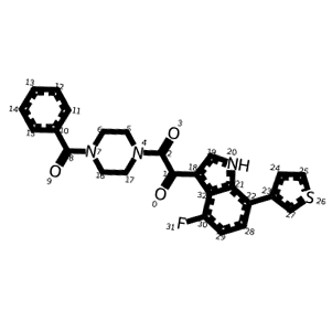 O=C(C(=O)N1CCN(C(=O)c2ccccc2)CC1)c1c[nH]c2c(-c3ccsc3)ccc(F)c12